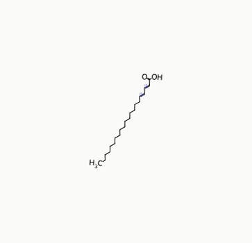 CCCCCCCCCCCCCCCC/C=C/C=C/C(=O)O